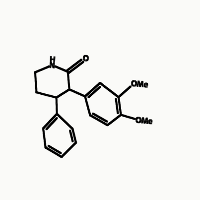 COc1ccc(C2C(=O)NCCC2c2ccccc2)cc1OC